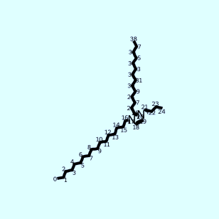 CCCCCCCCCCCCCCCCCn1cc[n+](CCCC)c1CCCCCCCCCCCCC